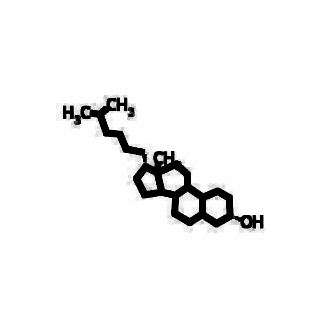 CC(C)CCCC[C@H]1CCC2C3CCC4C[C@@H](O)CCC4C3CCC21C